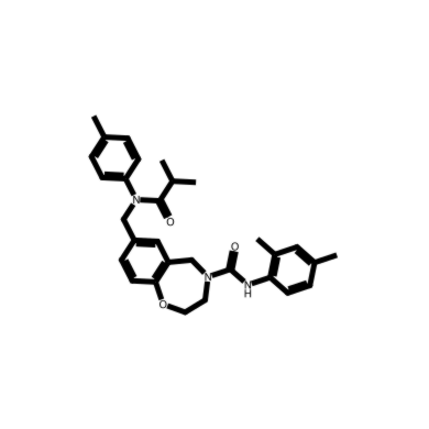 Cc1ccc(N(Cc2ccc3c(c2)CN(C(=O)Nc2ccc(C)cc2C)CCO3)C(=O)C(C)C)cc1